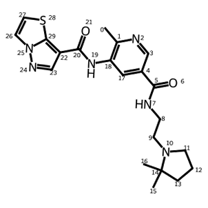 Cc1ncc(C(=O)NCCN2CCCC2(C)C)cc1NC(=O)c1cnn2ccsc12